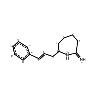 N=C1CCCCC(CC=Cc2ccccc2)N1